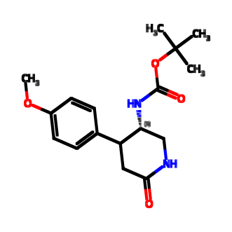 COc1ccc(C2CC(=O)NC[C@H]2NC(=O)OC(C)(C)C)cc1